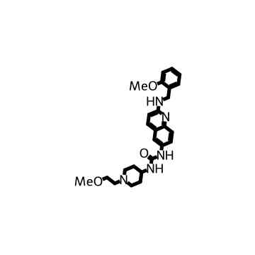 COCCN1CCC(NC(=O)Nc2ccc3nc(NCc4ccccc4OC)ccc3c2)CC1